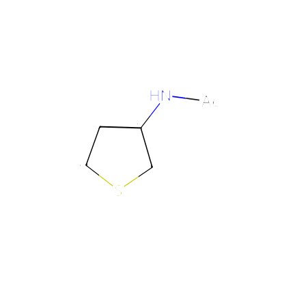 CC(=O)NC1CCSC1